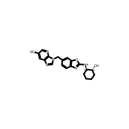 N#Cc1cnc2c(c1)ncn2Cc1ccc2nc(N[C@@H]3CCCC[C@H]3O)oc2c1